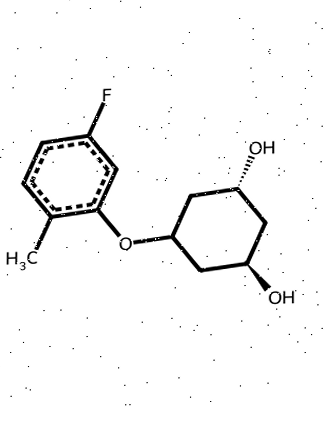 Cc1ccc(F)cc1OC1C[C@H](O)C[C@@H](O)C1